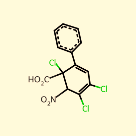 O=C(O)C1(Cl)C(c2ccccc2)=CC(Cl)=C(Cl)C1[N+](=O)[O-]